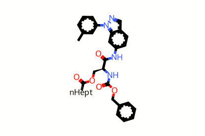 CCCCCCCC(=O)OC[C@H](NC(=O)OCc1ccccc1)C(=O)Nc1ccc2cnn(-c3cccc(C)c3)c2c1